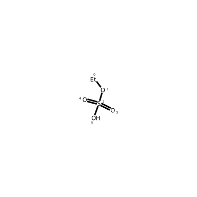 CCOS(=O)(=O)O